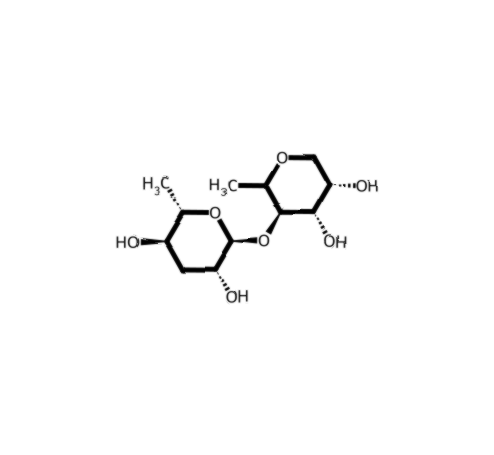 CC1OC[C@H](O)[C@H](O)[C@H]1O[C@@H]1O[C@@H](C)[C@H](O)C[C@H]1O